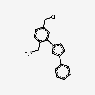 NCc1ccc(CCl)cc1-n1ccc(-c2ccccc2)c1